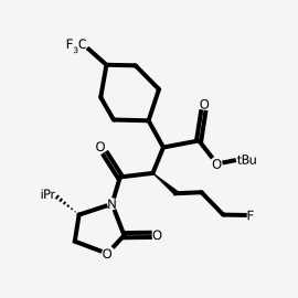 CC(C)[C@H]1COC(=O)N1C(=O)[C@H](CCCF)C(C(=O)OC(C)(C)C)C1CCC(C(F)(F)F)CC1